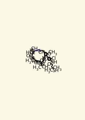 COc1cc2cc(c1-c1ccc(NC(=O)CCC(C)(C)S)c(Cl)c1)N(C)C(=O)C[C@H](OC(=O)C(C)C)[C@]1(C)O[C@H]1[C@H](C)[C@@H]1C[C@@](O)(NC(=O)O1)[C@H](OC)/C=C/C=C(\C)C2